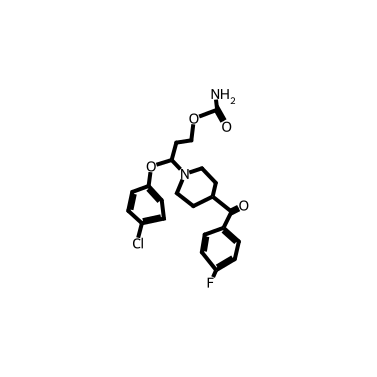 NC(=O)OCCC(Oc1ccc(Cl)cc1)N1CCC(C(=O)c2ccc(F)cc2)CC1